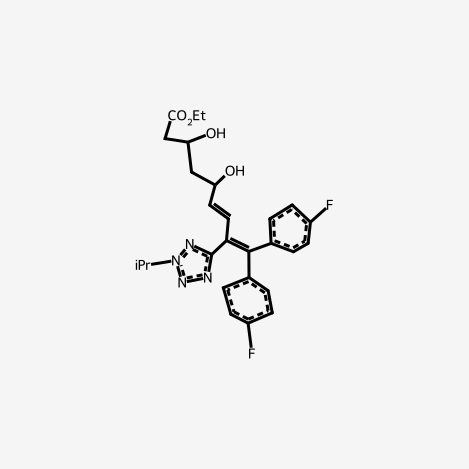 CCOC(=O)CC(O)CC(O)/C=C/C(=C(c1ccc(F)cc1)c1ccc(F)cc1)c1nnn(C(C)C)n1